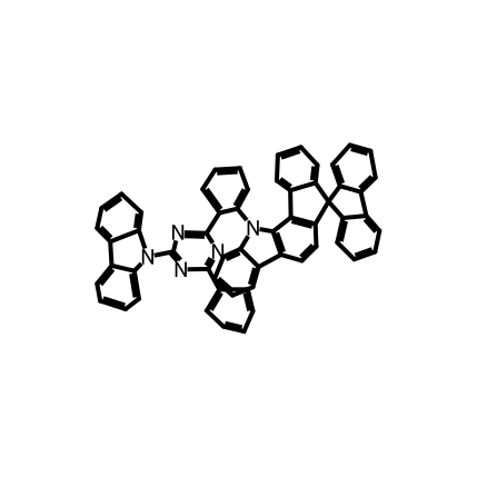 c1ccc(-c2nc(-c3ccccc3-n3c4ccccc4c4ccc5c(c43)-c3ccccc3C53c4ccccc4-c4ccccc43)nc(-n3c4ccccc4c4ccccc43)n2)cc1